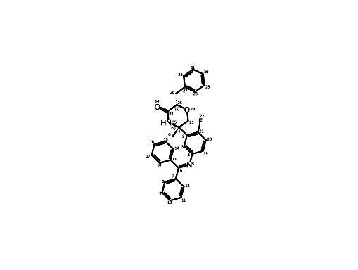 C[C@]1(c2cc(N=C(c3ccccc3)c3ccccc3)ccc2F)CO[C@@H](Cc2ccccc2)C(=O)N1